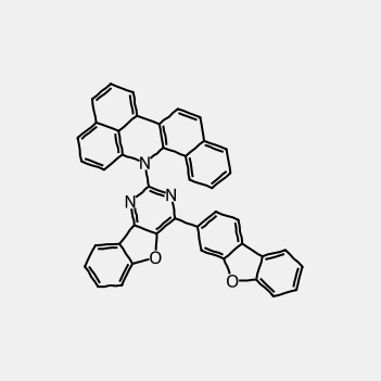 c1ccc2c3c(ccc2c1)-c1cccc2cccc(c12)N3c1nc(-c2ccc3c(c2)oc2ccccc23)c2oc3ccccc3c2n1